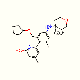 Cc1cc(O)nc(-c2c(C)cc(NC3(C(=O)O)CCOCC3)cc2COC2CCCC2)c1